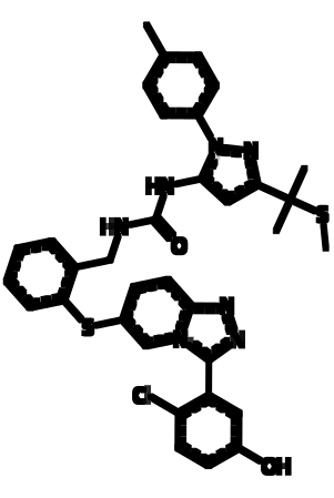 CSC(C)(C)c1cc(NC(=O)NCc2ccccc2Sc2ccc3nnc(-c4cc(O)ccc4Cl)n3c2)n(-c2ccc(C)cc2)n1